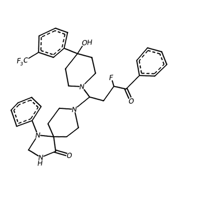 O=C(c1ccccc1)C(F)CC(N1CCC(O)(c2cccc(C(F)(F)F)c2)CC1)N1CCC2(CC1)C(=O)NCN2c1ccccc1